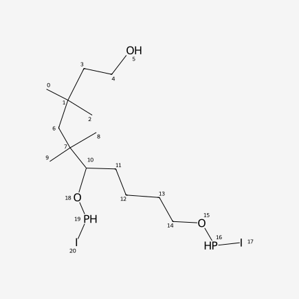 CC(C)(CCO)CC(C)(C)C(CCCCOPI)OPI